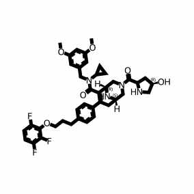 COc1cc(CN(C(=O)C2=C(c3ccc(CCCOc4c(F)ccc(F)c4F)cc3)C[C@H]3CN(C(=O)C4C[C@@H](O)CN4)C[C@@H]2N3)C2CC2)cc(OC)c1